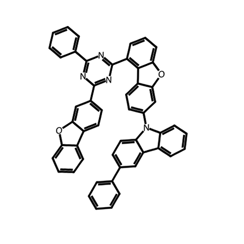 c1ccc(-c2ccc3c(c2)c2ccccc2n3-c2ccc3c(c2)oc2cccc(-c4nc(-c5ccccc5)nc(-c5ccc6c(c5)oc5ccccc56)n4)c23)cc1